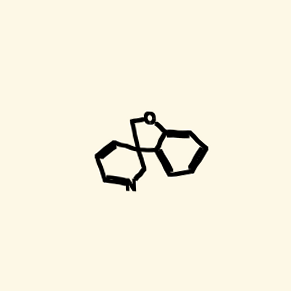 C1=CC2(CN=C1)COc1ccccc12